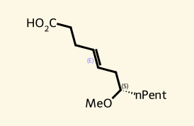 CCCCC[C@@H](C/C=C/CCC(=O)O)OC